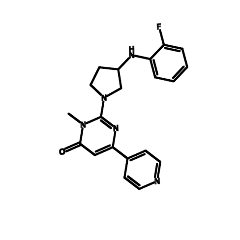 Cn1c(N2CCC(Nc3ccccc3F)C2)nc(-c2ccncc2)cc1=O